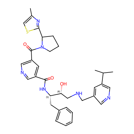 Cc1csc(C2CCCN2C(=O)c2cncc(C(=O)N[C@@H](Cc3ccccc3)[C@H](O)CNCc3cncc(C(C)C)c3)c2)n1